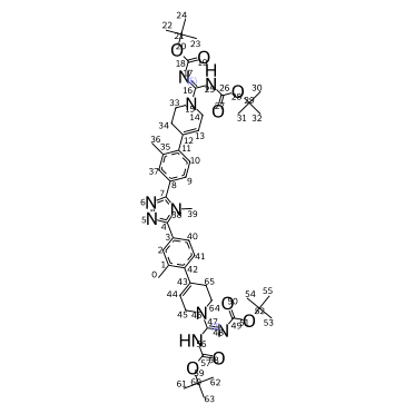 Cc1cc(-c2nnc(-c3ccc(C4=CCN(/C(=N/C(=O)OC(C)(C)C)NC(=O)OC(C)(C)C)CC4)c(C)c3)n2C)ccc1C1=CCN(/C(=N\C(=O)OC(C)(C)C)NC(=O)OC(C)(C)C)CC1